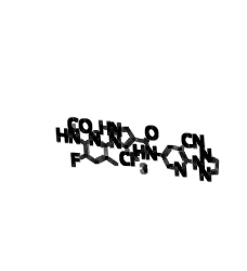 Cc1cc(F)c(NC(=O)O)nc1-n1ncc(C(=O)Nc2cnc(-n3nccn3)c(C#N)c2)c1C(F)(F)F